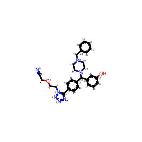 N#CCOCCn1nnnc1-c1ccc(C(c2cccc(O)c2)N2CCN(Cc3ccccc3)CC2)cc1